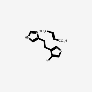 CCc1cscc1CCc1c[nH]cn1.O=C(O)C=CC(=O)O